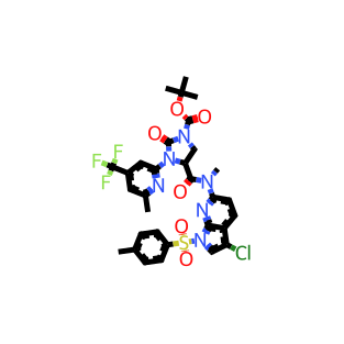 Cc1ccc(S(=O)(=O)n2cc(Cl)c3ccc(N(C)C(=O)C4CN(C(=O)OC(C)(C)C)C(=O)N4c4cc(C(F)(F)F)cc(C)n4)nc32)cc1